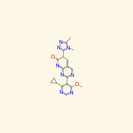 COc1ncnc(C2CC2)c1-c1ncc2c(n1)=NC(=O)C(c1nnc(C)n1C)C=2